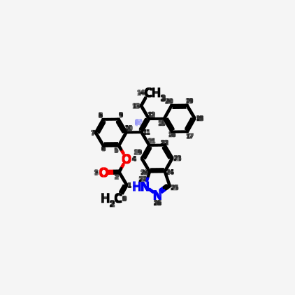 C=CC(=O)Oc1ccccc1/C(=C(\CC)c1ccccc1)c1ccc2cn[nH]c2c1